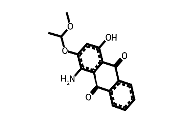 COC(C)Oc1cc(O)c2c(c1N)C(=O)c1ccccc1C2=O